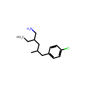 CC(Cc1ccc(Cl)cc1)CC(CN)CC(=O)O